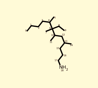 CCCCC(C)C(C)(CC)C(C)CC(C)CCCN